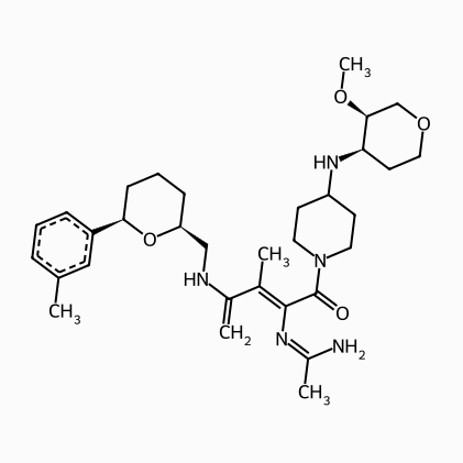 C=C(NC[C@@H]1CCC[C@H](c2cccc(C)c2)O1)/C(C)=C(\N=C(\C)N)C(=O)N1CCC(N[C@@H]2CCOC[C@@H]2OC)CC1